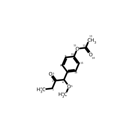 CCC(=O)C(OC)c1ccc(OC(C)=O)cc1